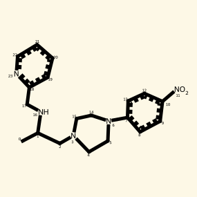 CC(CN1CCN(c2ccc([N+](=O)[O-])cc2)CC1)NCc1ccccn1